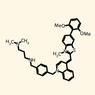 COc1cccc(OC)c1-c1ccc2c(c1)sc(C=C1C=CN(Cc3ccc(CNCCCN(C)C)cc3)c3ccccc31)[n+]2C